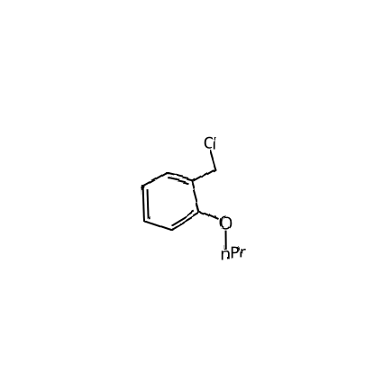 CCCOc1ccccc1CCl